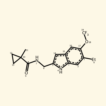 CCc1cc2[nH]c(CNC(=O)C3(C)CC3)cc2cc1OC(F)(F)F